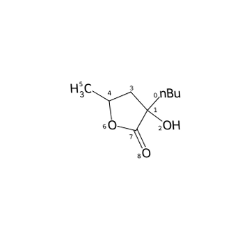 CCCCC1(O)CC(C)OC1=O